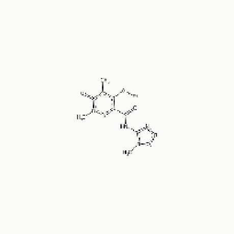 CCOc1c(C(=O)Nc2nnnn2C)nn(C)c(=O)c1C